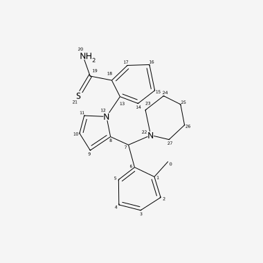 Cc1ccccc1C(c1cccn1-c1ccccc1C(N)=S)N1CCCCC1